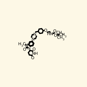 Cn1c(=O)n(C2CCC(=O)NC2=O)c2ccc(N3CCN(CC4CCC(OCCNC(=O)OC(C)(C)C)CC4)CC3)cc21